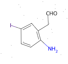 Nc1ccc(I)cc1CC=O